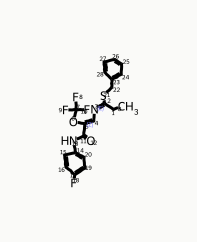 CC/C(=N\C=C(/OC(F)(F)F)C(=O)Nc1ccc(F)cc1)SCc1ccccc1